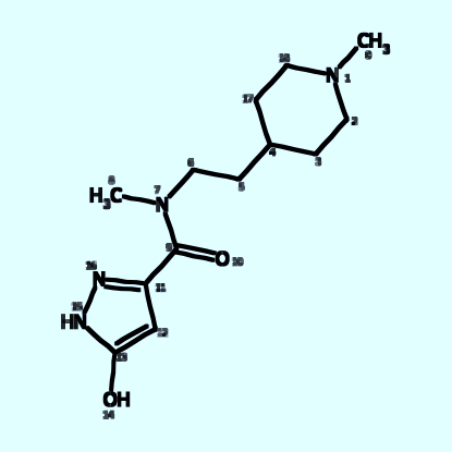 CN1CCC(CCN(C)C(=O)c2cc(O)[nH]n2)CC1